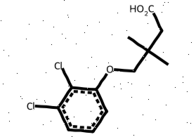 CC(C)(COc1cccc(Cl)c1Cl)CC(=O)O